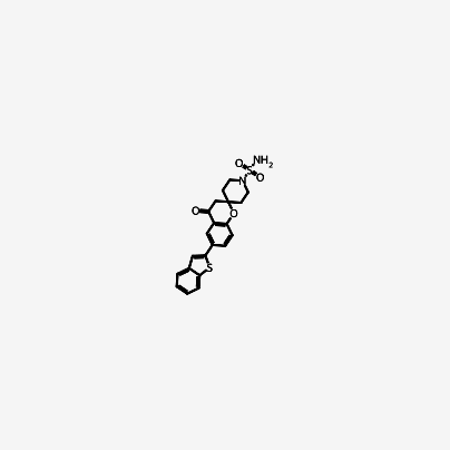 NS(=O)(=O)N1CCC2(CC1)CC(=O)c1cc(-c3cc4ccccc4s3)ccc1O2